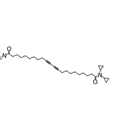 NC(=O)CCCCCCCCC#CC#CCCCCCCCCC(=O)N(C1CC1)C1CC1